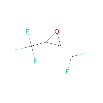 FC(F)C1OC1C(F)(F)F